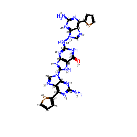 Nc1nc(-c2cccs2)c2ncn(Nc3nc4nc(-n5cnc6c(-c7cccs7)nc(N)nc65)[nH]c4c(=O)[nH]3)c2n1